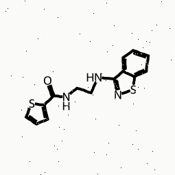 O=C(NCCNc1nsc2ccccc12)c1cccs1